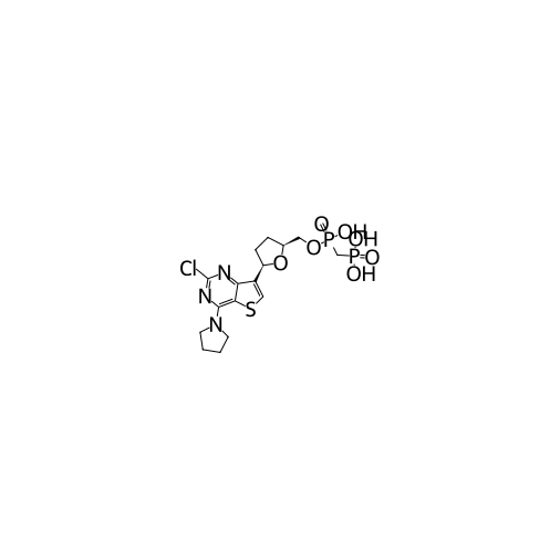 O=P(O)(O)CP(=O)(O)OC[C@@H]1CC[C@H](c2csc3c(N4CCCC4)nc(Cl)nc23)O1